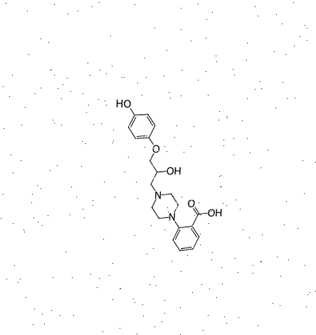 O=C(O)c1ccccc1N1CCN(CC(O)COc2ccc(O)cc2)CC1